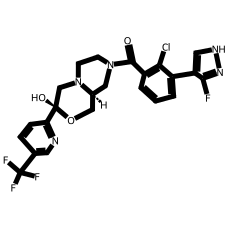 O=C(c1cccc(-c2c[nH]nc2F)c1Cl)N1CCN2C[C@@](O)(c3ccc(C(F)(F)F)cn3)OC[C@@H]2C1